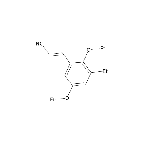 CCOc1cc(/C=C/C#N)c(OCC)c(CC)c1